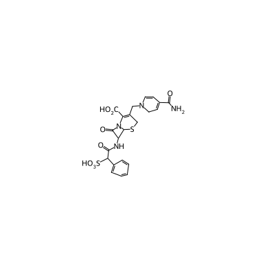 NC(=O)C1=CCN(CC2=C(C(=O)O)N3C(=O)C(NC(=O)C(c4ccccc4)S(=O)(=O)O)C3SC2)C=C1